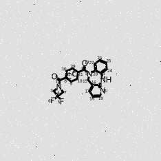 O=C(N1CC(F)(F)C1)C12CCC(C(=O)N3Cc4cccnc4Nc4ccccc43)(CC1)CC2